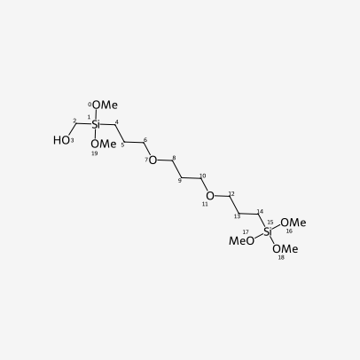 CO[Si](CO)(CCCOCCCOCCC[Si](OC)(OC)OC)OC